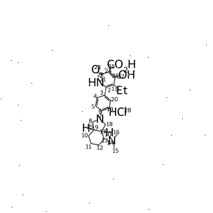 CCc1c(-c2ccc(N3C[C@H]4CCC[C@@H](N(C)C)[C@H]4C3)cc2)[nH]c(=O)c(C(=O)O)c1O.Cl